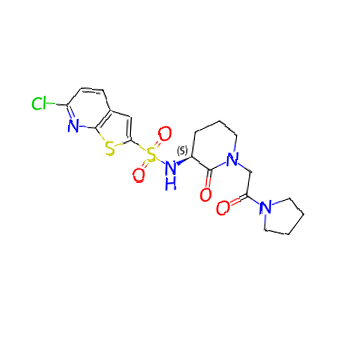 O=C(CN1CCC[C@H](NS(=O)(=O)c2cc3ccc(Cl)nc3s2)C1=O)N1CCCC1